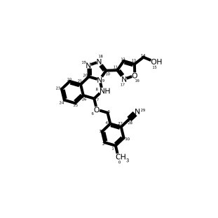 Cc1ccc(COC2Nn3c(-c4cc(CO)on4)nnc3-c3ccccc32)c(C#N)c1